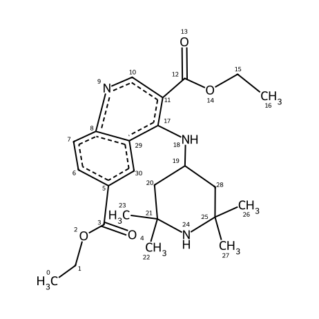 CCOC(=O)c1ccc2ncc(C(=O)OCC)c(NC3CC(C)(C)NC(C)(C)C3)c2c1